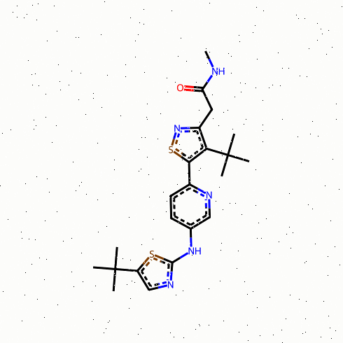 CNC(=O)Cc1nsc(-c2ccc(Nc3ncc(C(C)(C)C)s3)cn2)c1C(C)(C)C